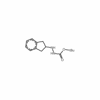 CC(C)(C)OC(=O)NNC1Cc2ccccc2C1